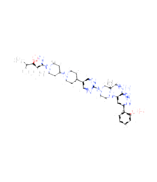 CC(C)C(C(=O)O)c1cc(N2CCC(N3CCC(c4cnc(N5CCN6c7cc(-c8ccccc8O)nnc7NC[C@H]6C5)nc4)CC3)CC2)no1